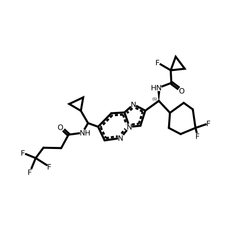 O=C(CCC(F)(F)F)NC(c1cnn2cc([C@@H](NC(=O)C3(F)CC3)C3CCC(F)(F)CC3)nc2c1)C1CC1